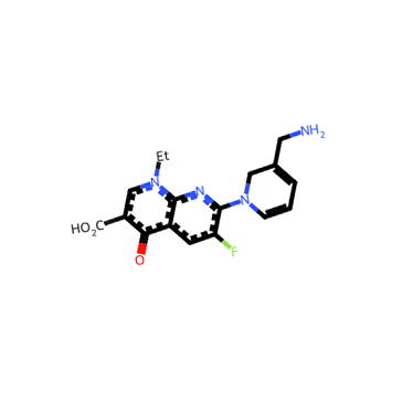 CCn1cc(C(=O)O)c(=O)c2cc(F)c(N3C=CC=C(CN)C3)nc21